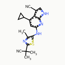 Cc1nc(C(C)(C)C#N)sc1Nc1cc(C2CC2)c2c(C#N)c[nH]c2n1